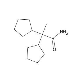 CC(C(N)=O)(C1CCCC1)C1CCCC1